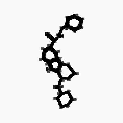 O=C(NCc1cccnc1)c1ccc2[nH]c3c(c2c1)CCCC3NC1CCCCC1